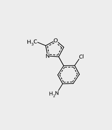 Cc1nc(-c2cc(N)ccc2Cl)co1